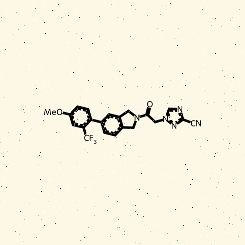 COc1ccc(-c2ccc3c(c2)CN(C(=O)Cn2cnc(C#N)n2)C3)c(C(F)(F)F)c1